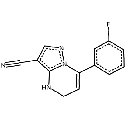 N#Cc1cnn2c1NCC=C2c1cccc(F)c1